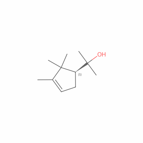 CC1=CC[C@H](C(C)(C)O)C1(C)C